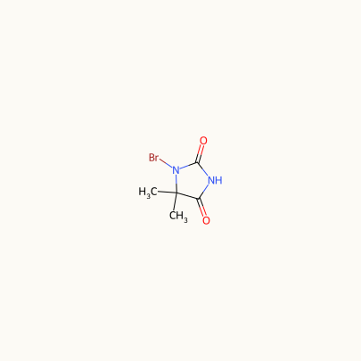 CC1(C)C(=O)NC(=O)N1Br